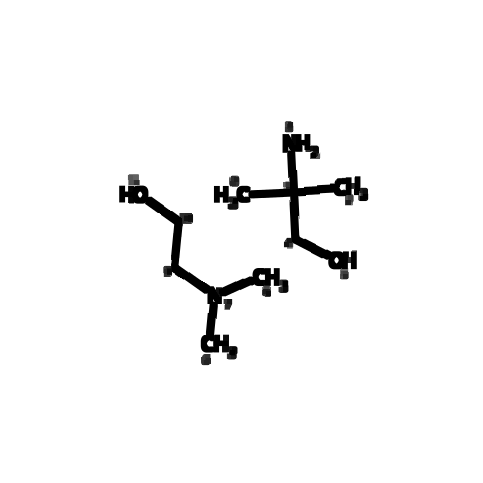 CC(C)(N)CO.CN(C)CCO